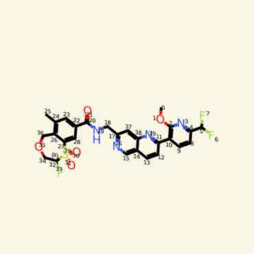 COc1nc(C(F)F)ccc1-c1ccc2cnc(CNC(=O)c3cc(C)c4c(c3)S(=O)(=O)[C@@H](F)COC4)cc2n1